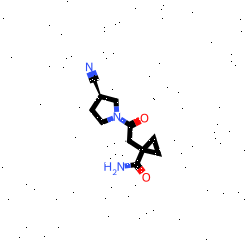 N#C[C@@H]1CCN(C(=O)[CH]C2(C(N)=O)CC2)C1